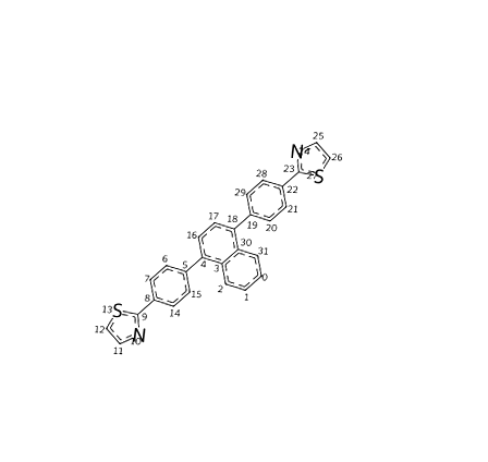 c1ccc2c(-c3ccc(-c4nccs4)cc3)ccc(-c3ccc(-c4nccs4)cc3)c2c1